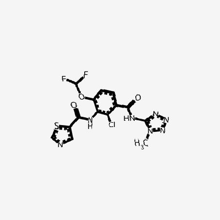 Cn1nnnc1NC(=O)c1ccc(OC(F)F)c(NC(=O)c2cncs2)c1Cl